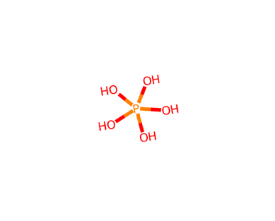 OP(O)(O)(O)O